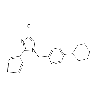 Clc1cn(Cc2ccc(C3CCCCC3)cc2)c(-c2ccccc2)n1